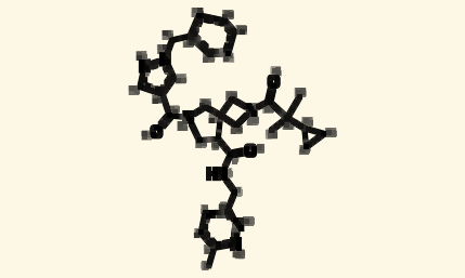 Cc1ccc(CNC(=O)C2CN(C(=O)c3cnn(Cc4ccccc4)c3)CC23CN(C(=O)C(C)(C)C2CC2)C3)nn1